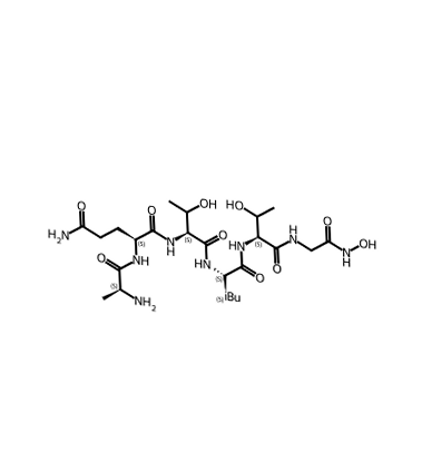 CC[C@H](C)[C@H](NC(=O)[C@@H](NC(=O)[C@H](CCC(N)=O)NC(=O)[C@H](C)N)C(C)O)C(=O)N[C@H](C(=O)NCC(=O)NO)C(C)O